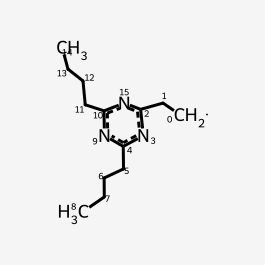 [CH2]Cc1nc(CCCC)nc(CCCC)n1